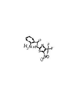 Nc1ccccc1C(=O)Nc1nc(C(F)(F)F)c([N+](=O)[O-])s1